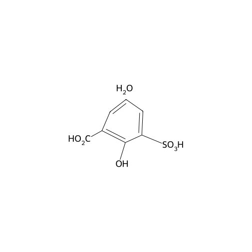 O.O=C(O)c1cccc(S(=O)(=O)O)c1O